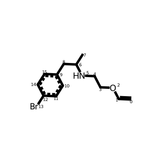 C=COCCNC(C)Cc1ccc(Br)cc1